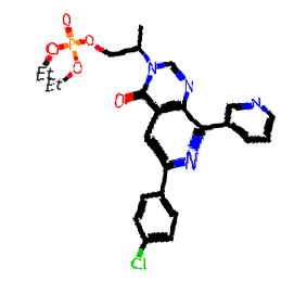 CCOP(=O)(OCC)OCC(C)n1cnc2c(-c3cccnc3)nc(-c3ccc(Cl)cc3)cc2c1=O